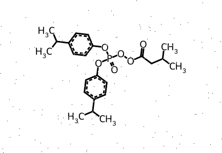 CC(C)CC(=O)OOP(=O)(Oc1ccc(C(C)C)cc1)Oc1ccc(C(C)C)cc1